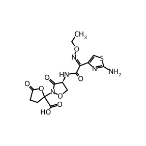 CCON=C(C(=O)N[C@H]1CON(C2(C(=O)O)CCC(=O)O2)C1=O)c1csc(N)n1